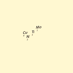 [Cu].[Mo].[N].[Ti]